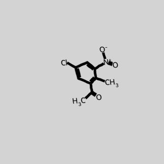 CC(=O)c1cc(Cl)cc([N+](=O)[O-])c1C